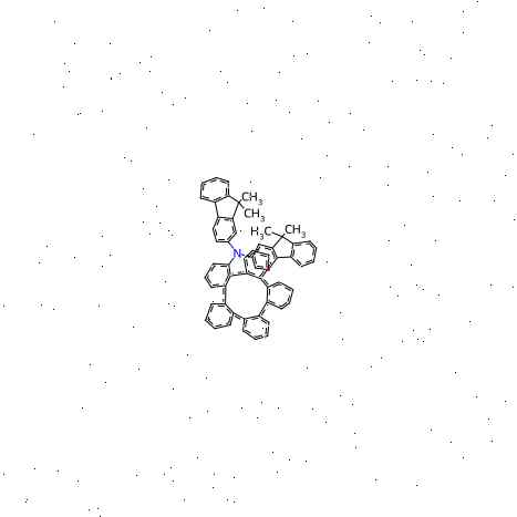 CC1(C)c2ccccc2-c2ccc(N(c3ccc4c(c3)C(C)(C)c3ccccc3-4)c3cccc4c5ccccc5c5ccccc5c5ccccc5c5ccccc5c34)cc21